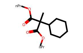 CCCOC(=O)C(C)(C(=O)OCCC)C1CCCCC1